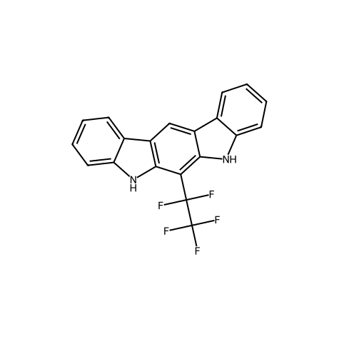 FC(F)(F)C(F)(F)c1c2[nH]c3ccccc3c2cc2c1[nH]c1ccccc12